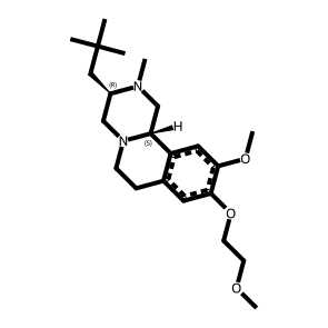 COCCOc1cc2c(cc1OC)[C@H]1CN(C)[C@H](CC(C)(C)C)CN1CC2